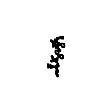 C#CCn1c(C)nn(COC(=O)[C@@H]2[C@@H](/C=C(C#N)/C=C/C)C2(C)C)c1=O